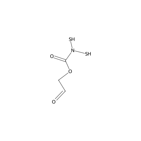 O=CCOC(=O)N(S)S